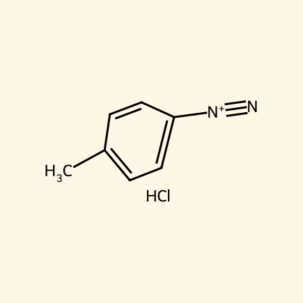 Cc1ccc([N+]#N)cc1.Cl